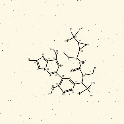 CCC(NC(=O)N(CC)C(c1cc(-c2cn3cc(C)nc3c(OC)n2)c(OC)cn1)C(F)(F)F)C1CC1C(F)(F)F